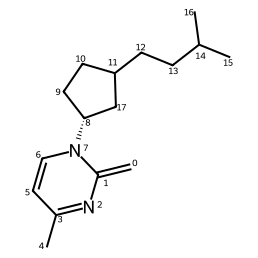 C=C1N=C(C)C=CN1[C@@H]1CCC(CCC(C)C)C1